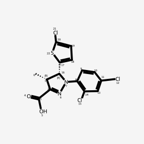 C[C@H]1C(C(=O)O)=NN(c2ccc(Cl)cc2Cl)[C@H]1c1ccc(Cl)s1